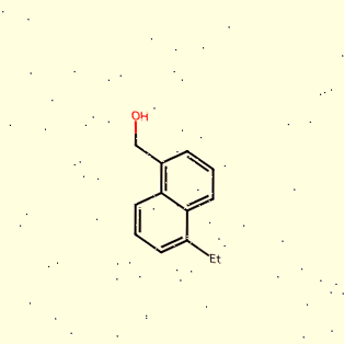 CCc1cccc2c(CO)cccc12